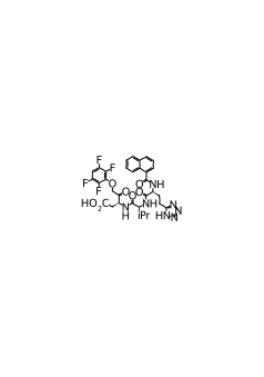 CC(C)[C@H](NC(=O)[C@H](CCc1nnn[nH]1)NC(=O)c1cccc2ccccc12)C(=O)N[C@@H](CC(=O)O)C(=O)COc1c(F)c(F)cc(F)c1F